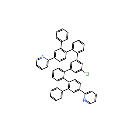 Clc1cc(-c2ccccc2-c2ccc(-c3ccccn3)cc2-c2ccccc2)cc(-c2ccccc2-c2ccc(-c3ccccn3)cc2-c2ccccc2)c1